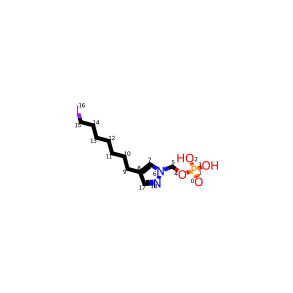 O=P(O)(O)OCn1cc(CCCCCCCI)cn1